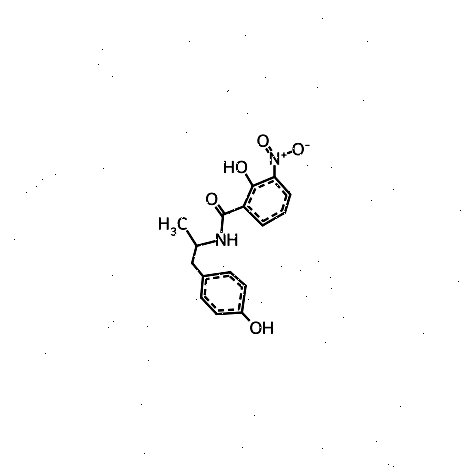 CC(Cc1ccc(O)cc1)NC(=O)c1cccc([N+](=O)[O-])c1O